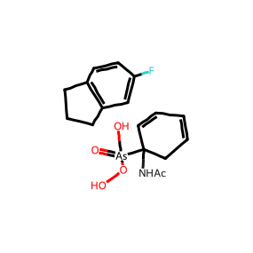 CC(=O)NC1([As](=O)(O)OO)C=CC=CC1.Fc1ccc2c(c1)CCC2